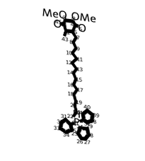 COC1=C(OC)C(=O)C(CCCCCCCCCCCCCCCC[PH](c2ccccc2)(c2ccccc2)c2ccccc2)=C(C)C1=O